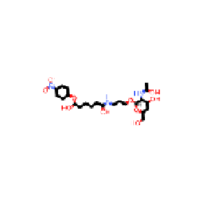 CC(O)NC1C(O)CC(CO)O[C@H]1OCCCNC(O)CCCCC(O)OC1CCC([N+](=O)[O-])CC1